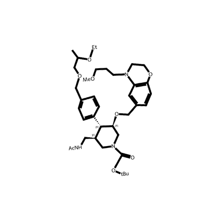 CCOC(C)COCc1ccc([C@H]2[C@H](CNC(C)=O)CN(C(=O)OC(C)(C)C)C[C@@H]2OCc2ccc3c(c2)N(CCCOC)CCO3)cc1